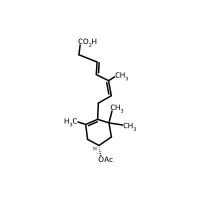 CC(=O)O[C@@H]1CC(C)=C(CC=C(C)C=CCC(=O)O)C(C)(C)C1